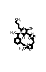 CCCCc1nc(O)c(-c2nnc(Cc3csc(C)n3)o2)c(=O)n1C(C)c1cccc(C#N)c1